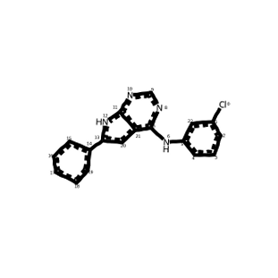 Clc1cccc(Nc2ncnc3[nH]c(-c4ccccc4)cc23)c1